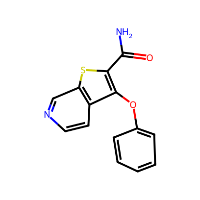 NC(=O)c1sc2cnccc2c1Oc1ccccc1